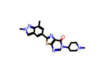 Cc1cc(-c2nc3c(=O)n(C4CCN(C)CC4)cnc3s2)cc2cn(C)nc12